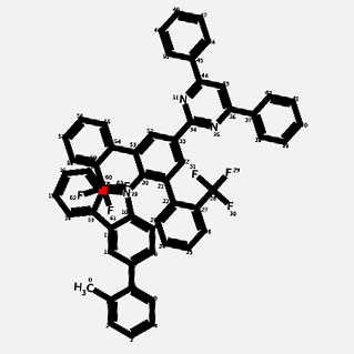 Cc1ccccc1-c1ccc2c(c1)c1ccccc1n2-c1c(-c2ccccc2C(F)(F)F)cc(-c2nc(-c3ccccc3)cc(-c3ccccc3)n2)cc1-c1ccccc1C(F)(F)F